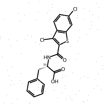 O=C(N[C@@H](Cc1ccccc1)C(=O)O)c1sc2cc(Cl)ccc2c1Cl